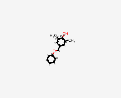 Cc1cc(COc2ccccc2)cc(C)c1O